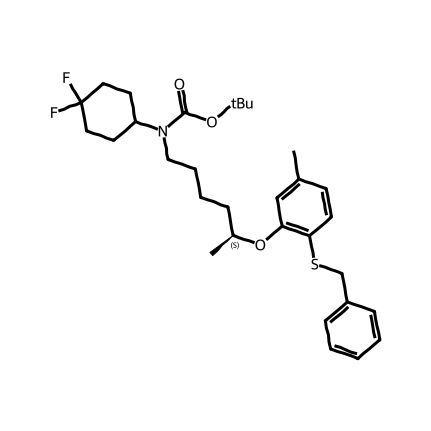 Cc1ccc(SCc2ccccc2)c(O[C@@H](C)CCCCN(C(=O)OC(C)(C)C)C2CCC(F)(F)CC2)c1